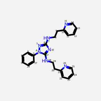 c1ccc(-n2nc(NCCc3ccccn3)nc2NCCc2ccccn2)cc1